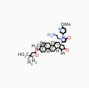 COc1ccc(-n2c(=O)cc([C@@]34CC[C@]5(C)[C@H](CC[C@@H]6[C@@]7(C)CC[C@H](OC(=O)CC(C)(C)C(=O)O)C(C)(C)[C@@H]7CC[C@]65C)C3=C(C(C)C)C(=O)C4)n2CCN)cn1